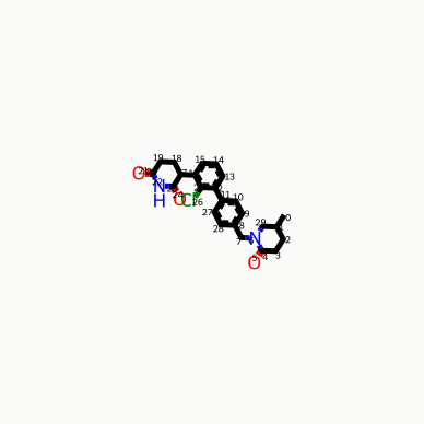 CC1CCC(=O)N(Cc2ccc(-c3cccc(C4CCC(=O)NC4=O)c3Cl)cc2)C1